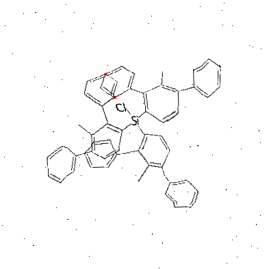 Cc1c(-c2ccccc2)ccc([Si](Cl)(c2ccc(-c3ccccc3)c(C)c2-c2ccccc2)c2ccc(-c3ccccc3)c(C)c2-c2ccccc2)c1-c1ccccc1